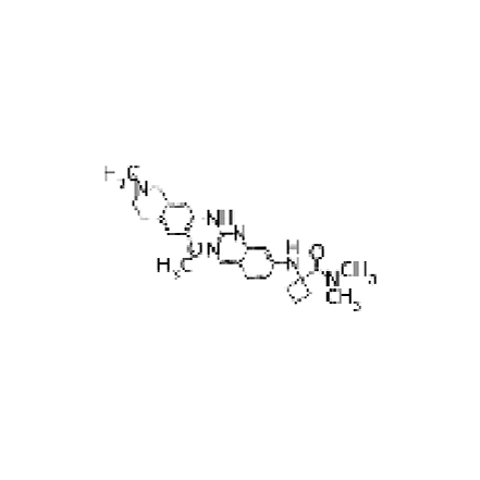 COc1cc2c(cc1Nc1ncc3ccc(NC4(C(=O)N(C)C)CCC4)cc3n1)CN(C)CC2